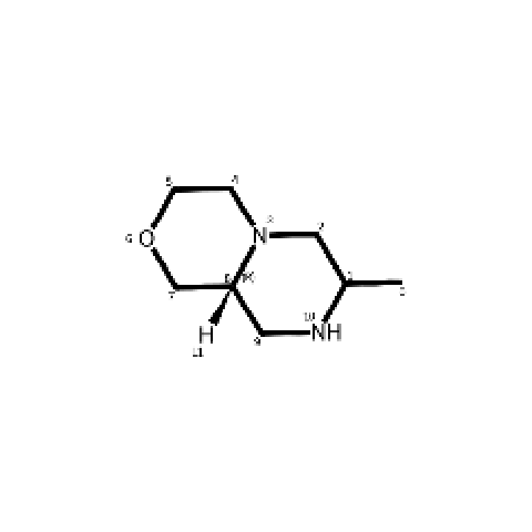 CC1CN2CCOC[C@H]2CN1